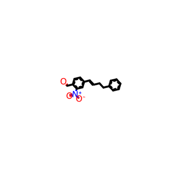 O=Cc1ccc(/C=C/CCc2ccccc2)cc1[N+](=O)[O-]